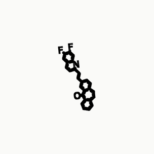 O=c1c2ccccc2ccc2ccc(C=Cc3ccc4cc(F)c(F)cc4n3)cc12